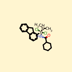 C[SiH](C)[Ti]([Cl])([Cl])([NH]C(=O)C1CCCCC1)[c]1cccc2c1Cc1ccccc1-2